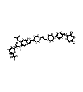 CC(C)Oc1cc2nc(C3CCN(CCN4CCC(c5ccc(OC6CCC(=O)NC6=O)cc5)CC4)CC3)cn2cc1NC(=O)c1cccc(C(F)(F)F)n1